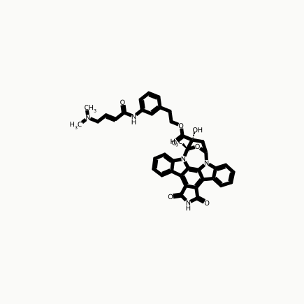 CN(C)C/C=C/C(=O)Nc1cccc(CCOC(=O)[C@@]2(O)CC3O[C@]2(C)n2c4ccccc4c4c5c(c6c7ccccc7n3c6c42)C(=O)NC5=O)c1